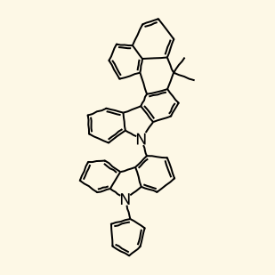 CC1(C)c2ccc3c(c2-c2cccc4cccc1c24)c1ccccc1n3-c1cccc2c1c1ccccc1n2-c1ccccc1